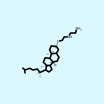 CC(C)CCC[C@@H](C)C1CCC2[C@@H]3CCC4C[C@@H](OCCNCCN)CC[C@]4(C)C3CC[C@@]21C